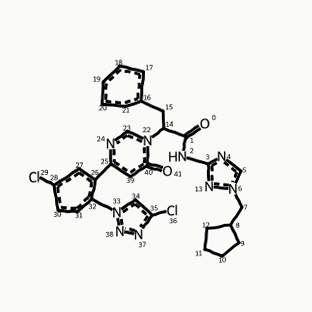 O=C(Nc1ncn(CC2CCCC2)n1)C(Cc1ccccc1)n1cnc(-c2cc(Cl)ccc2-n2cc(Cl)nn2)cc1=O